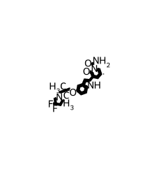 CC(C)(COc1ccc2[nH]c(-c3c[c]cn(C(N)=O)c3=O)cc2c1)CN1CCC(F)(F)C1